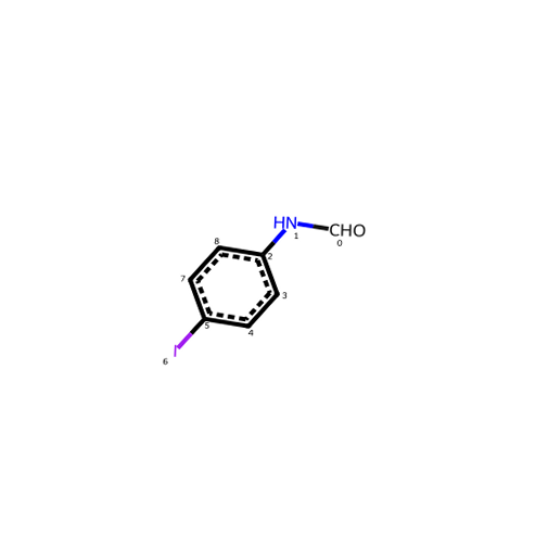 O=CNc1ccc(I)cc1